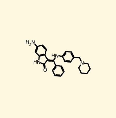 Nc1ccc2c(c1)NC(=O)/C2=C(/Nc1ccc(CN2CCCCC2)cc1)c1ccccc1